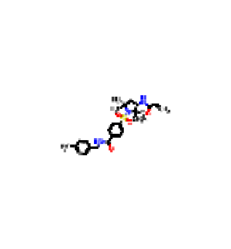 C=CC(=O)NC1CC(C)(C)N(S(=O)(=O)c2ccc(C(=O)NCc3ccc(C(F)(F)F)cc3)cc2)C1(C)C